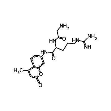 Cc1cc(=O)oc2cc(NC(=O)C(CCCNC(=N)N)NC(=O)CN)ccc12